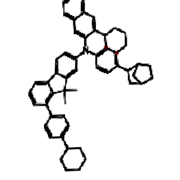 CC1(C)c2cc(N(c3ccc(C4CC5CCC4C5)cc3)c3cc4ccccc4cc3C3CCCCC3)ccc2-c2cccc(-c3ccc(C4CCCCC4)cc3)c21